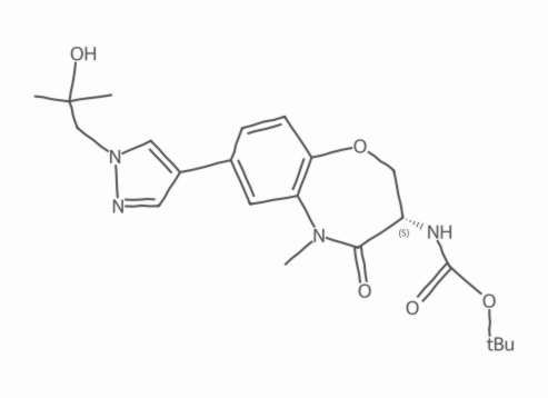 CN1C(=O)[C@@H](NC(=O)OC(C)(C)C)COc2ccc(-c3cnn(CC(C)(C)O)c3)cc21